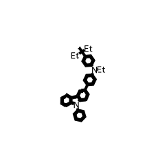 CCN(c1ccc(-c2ccc3c(c2)c2ccccc2n3-c2ccccc2)cc1)c1ccc(C(C)(CC)CC)cc1